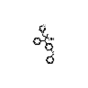 CC(O)(Cn1ccnc1)C(c1ccccc1)c1ccc(Sc2ccccc2)cc1